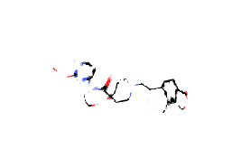 COc1nccc(N2CCOC3(CCN(C[C@H](O)c4ccc5c(c4C)COC5=O)CC3)C2=O)n1